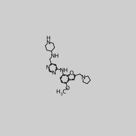 COc1ccc(Nc2cc(CNC3CCNCC3)ncn2)c2oc(CN3CCCC3)cc12